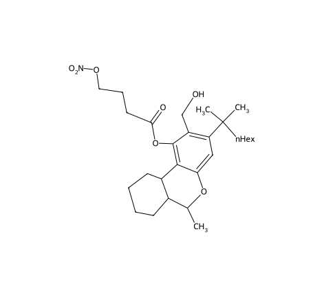 CCCCCCC(C)(C)c1cc2c(c(OC(=O)CCCO[N+](=O)[O-])c1CO)C1CCCCC1C(C)O2